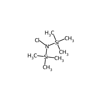 C[Si](C)(C)N(Cl)[Si](C)(C)C